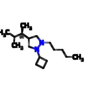 CCCCCN1CC([C@H](C)C(C)C)CN1C1CCC1